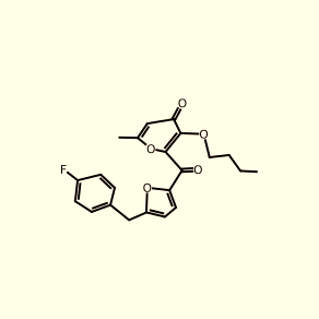 CCCCOc1c(C(=O)c2ccc(Cc3ccc(F)cc3)o2)oc(C)cc1=O